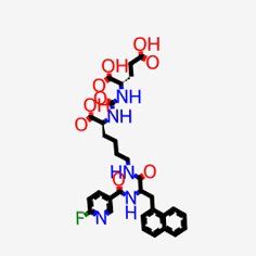 O=C(O)CC[C@H](NC(=O)N[C@@H](CCCCNC(=O)C(Cc1cccc2ccccc12)NC(=O)c1ccc(F)nc1)C(=O)O)C(=O)O